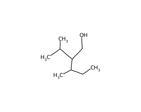 CCC(C)C(CO)C(C)C